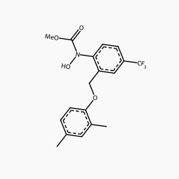 COC(=O)N(O)c1ccc(C(F)(F)F)cc1COc1ccc(C)cc1C